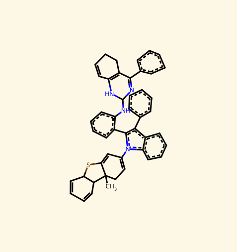 CC12CC=C(n3c(-c4ccccc4NC4N=C(c5ccccc5)C5=C(C=CCC5)N4)c(-c4ccccc4)c4ccccc43)C=C1SC1C=CC=CC12